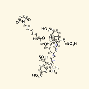 CC1(C)C(/C=C/C=C(/C=C/C=C2/N(CCS(=O)(=O)O)c3ccc(S(=O)(=O)O)cc3C2(C)C)CCCOCC(=O)NCCCCCCN2C(=O)C=CC2=O)=[N+](CCS(=O)(=O)O)c2ccc(S(=O)(=O)O)cc21